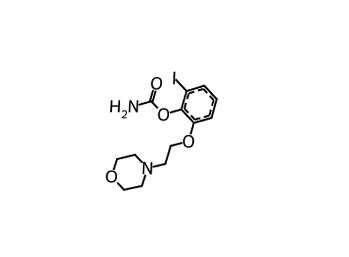 NC(=O)Oc1c(I)cccc1OCCN1CCOCC1